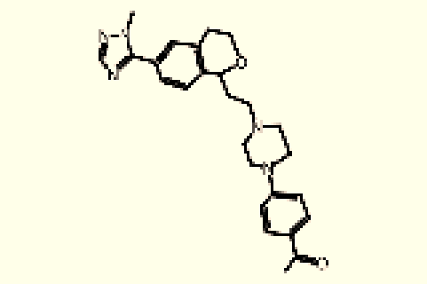 CC(=O)c1ccc(N2CCN(CCC3OCCc4cc(-c5ncnn5C)ccc43)CC2)cc1